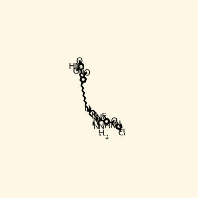 Nc1nccn2c(N3CCC4(CC3)CN(CCCCCCCCCc3ccc5c(c3)CN(C3CCC(=O)NC3=O)C5=O)C4)nc(-c3ccc(C(=O)Nc4cc(Cl)ccn4)cc3F)c12